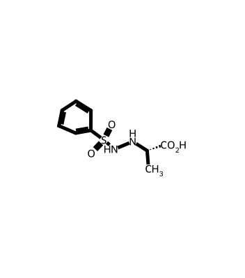 C[C@H](NNS(=O)(=O)c1ccccc1)C(=O)O